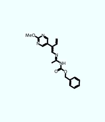 C=C/C(=C\N=C(/C)NC(=O)OCc1ccccc1)c1cnc(OC)nc1